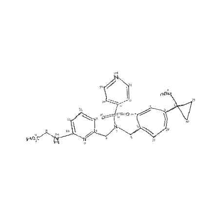 CCCCC1(c2ccc(CN(Cc3cccc(NCC(=O)O)n3)S(=O)(=O)c3ccncc3)cc2)CC1